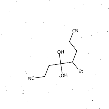 CCC(CCC#N)C(O)(O)CCC#N